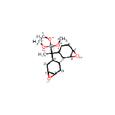 CO[Si](OC)(OC)C(C)(C1CCC2OC2C1)C1CCC2OC2C1